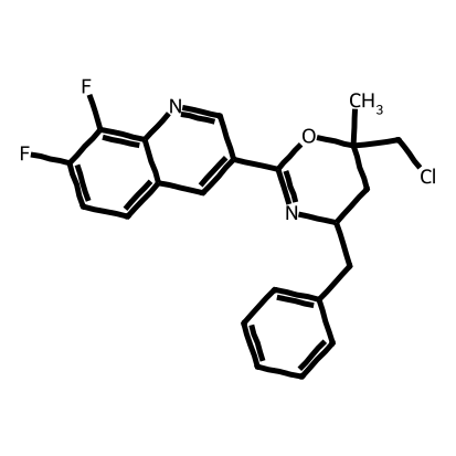 CC1(CCl)CC(Cc2ccccc2)N=C(c2cnc3c(F)c(F)ccc3c2)O1